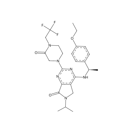 CCOc1ccc([C@@H](C)Nc2nc(N3CCN(CC(F)(F)F)C(=O)C3)nc3c2CN(C(C)C)C3=O)cc1